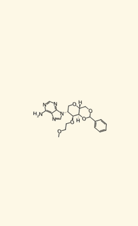 COCCO[C@@H]1[C@@H]2OC(c3ccccc3)OC[C@H]2OC[C@H]1n1cnc2c(N)ncnc21